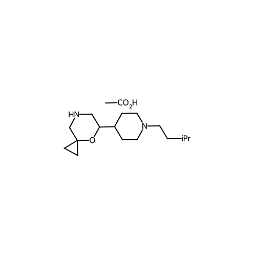 CC(=O)O.CC(C)CCN1CCC(C2CNCC3(CC3)O2)CC1